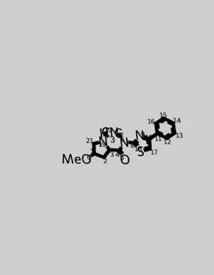 COC1CC(C(=O)N(C)c2nc(-c3ccccc3)cs2)N(C#N)C1